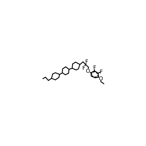 CCCC1CCC(C2CCC(C3CCC(CC(F)(F)COc4ccc(OCC)c(F)c4F)CC3)CC2)CC1